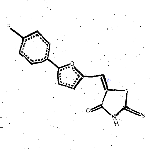 O=C1NC(=S)S/C1=C/c1ccc(-c2ccc(F)cc2)o1